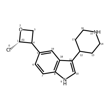 Cl[C@@H]1OCC1c1ccc2[nH]cc(C3CCNCC3)c2c1